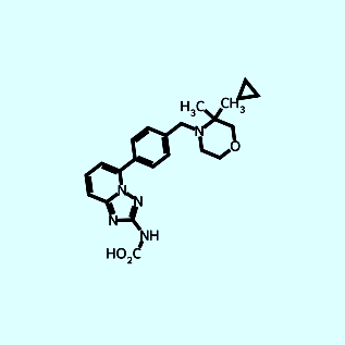 C1CC1.CC1(C)COCCN1Cc1ccc(-c2cccc3nc(NC(=O)O)nn23)cc1